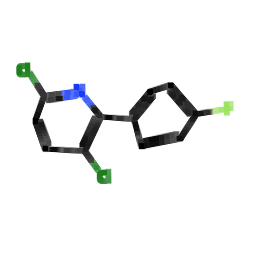 Fc1ccc(-c2nc(Cl)ccc2Cl)cc1